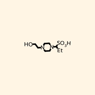 CCC(N1CCN(CCO)CC1)S(=O)(=O)O